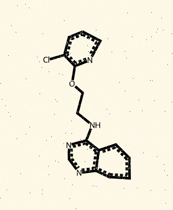 Clc1cccnc1OCCNc1ncnc2ccccc12